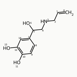 C=CCNCC(O)c1ccc(O)c(O)c1